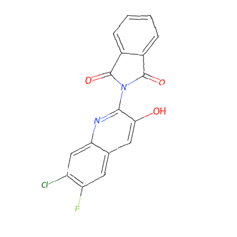 O=C1c2ccccc2C(=O)N1c1nc2cc(Cl)c(F)cc2cc1O